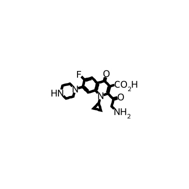 NCC(=O)c1c(C(=O)O)c(=O)c2cc(F)c(N3CCNCC3)cc2n1C1CC1